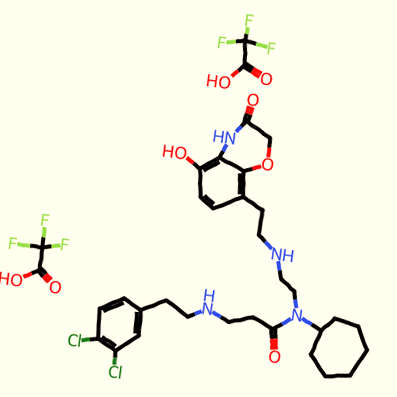 O=C(O)C(F)(F)F.O=C(O)C(F)(F)F.O=C1COc2c(CCNCCN(C(=O)CCNCCc3ccc(Cl)c(Cl)c3)C3CCCCCC3)ccc(O)c2N1